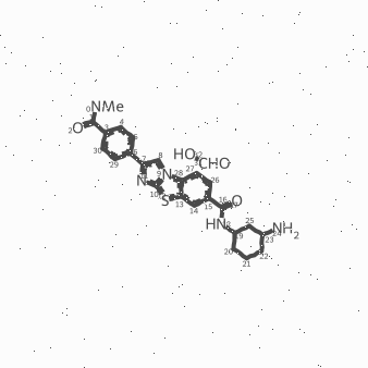 CNC(=O)c1ccc(-c2cn3c(n2)sc2cc(C(=O)NC4CCCC(N)C4)ccc23)cc1.O=CO